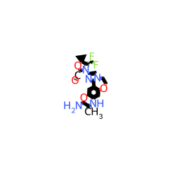 C[C@H](Nc1ccc2c(c1)OCCn1cc(N3C(=C=O)OC4(CC4)[C@H]3C(F)F)nc1-2)C(N)=O